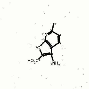 Cc1ccc2c(N)c(C(=O)O)oc2n1